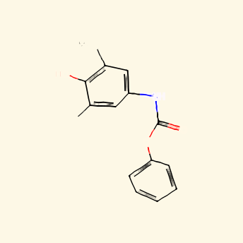 COc1cc(NC(=O)Oc2ccccc2)cc(C=O)c1O